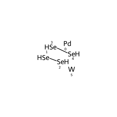 [Pd].[SeH][SeH].[SeH][SeH].[W]